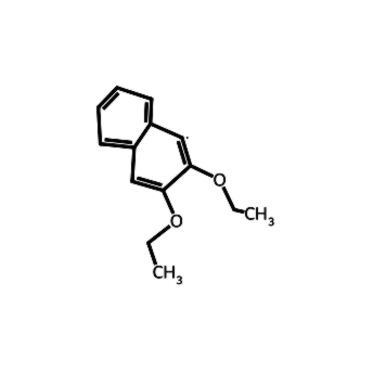 CCOc1[c]c2ccccc2cc1OCC